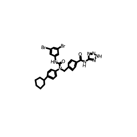 O=C(Nc1nn[nH]n1)c1ccc(CN(C(=O)Nc2cc(Br)cc(Br)c2)c2ccc(C3CCCCC3)cc2)cc1